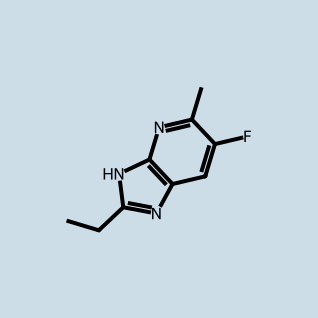 CCc1nc2cc(F)c(C)nc2[nH]1